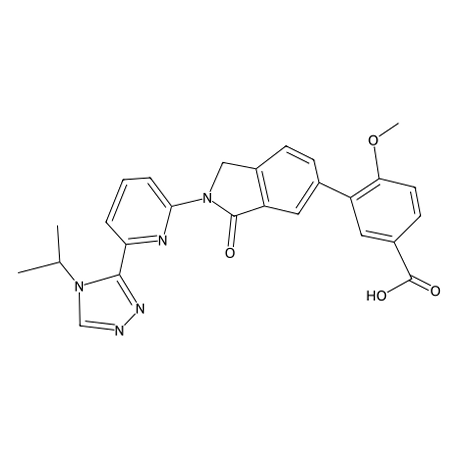 COc1ccc(C(=O)O)cc1-c1ccc2c(c1)C(=O)N(c1cccc(-c3nncn3C(C)C)n1)C2